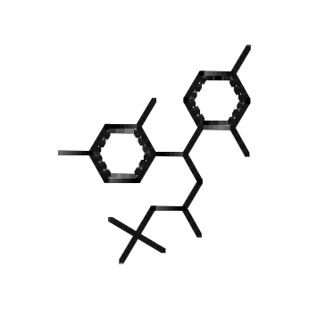 Cc1ccc(C(CC(C)CC(C)(C)C)c2ccc(C)cc2C)c(C)c1